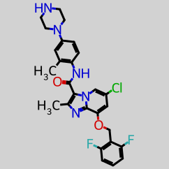 Cc1cc(N2CCNCC2)ccc1NC(=O)c1c(C)nc2c(OCc3c(F)cccc3F)cc(Cl)cn12